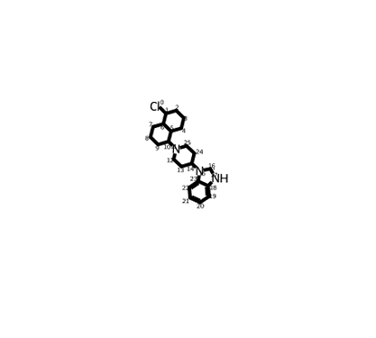 ClC1CCCC2C1CCCC2N1CCC(N2[CH]Nc3ccccc32)CC1